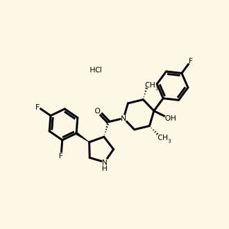 C[C@@H]1CN(C(=O)[C@@H]2CNC[C@H]2c2ccc(F)cc2F)C[C@H](C)C1(O)c1ccc(F)cc1.Cl